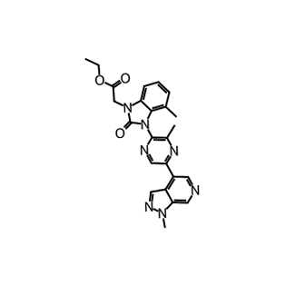 CCOC(=O)Cn1c(=O)n(-c2ncc(-c3cncc4c3cnn4C)nc2C)c2c(C)cccc21